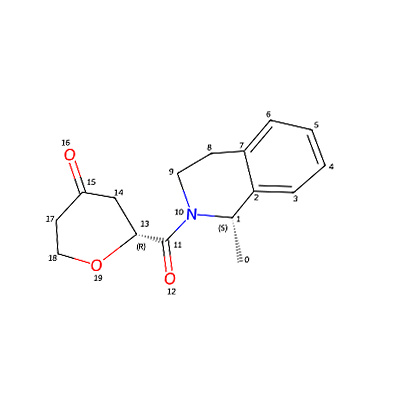 C[C@H]1c2ccccc2CCN1C(=O)[C@H]1CC(=O)CCO1